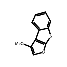 COc1coc2sc3ccccc3c12